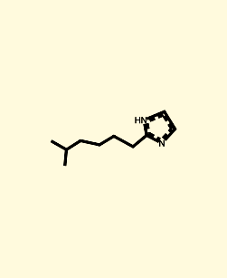 CC(C)CCCCc1ncc[nH]1